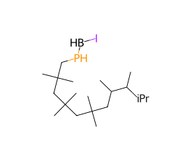 CC(C)C(C)C(C)CC(C)(C)CC(C)(C)CC(C)(C)CPBI